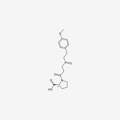 COc1ccc(CCC(=O)CCC(=O)N2CCC[C@H]2C(=O)O)cc1